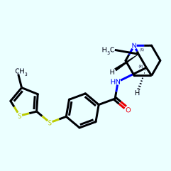 Cc1csc(Sc2ccc(C(=O)N[C@@H]3C4CCN(CC4)[C@H]3C)cc2)c1